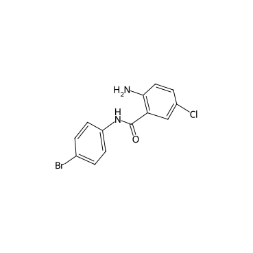 Nc1ccc(Cl)cc1C(=O)Nc1ccc(Br)cc1